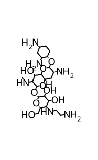 CNC1C(OC2OC(CO)C(NCCN)C(O)C2O)O[C@H]2C[C@H](N)C(O[C@H]3CC[C@H](N)CC3N)OC2C1O